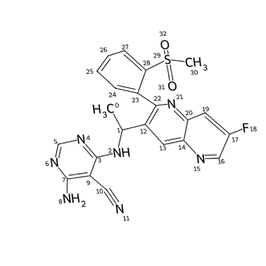 CC(Nc1ncnc(N)c1C#N)c1cc2ncc(F)cc2nc1-c1ccccc1S(C)(=O)=O